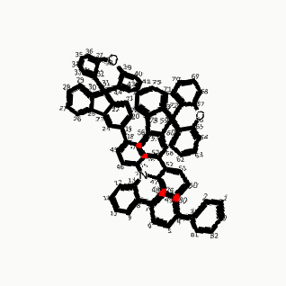 c1ccc(-c2ccc(-c3ccccc3N(c3ccc(-c4ccc5c(c4)-c4ccccc4C54c5ccccc5Oc5ccccc54)cc3)c3ccccc3-c3ccc4c(c3)C3(c5ccccc5Oc5ccccc53)c3ccccc3-4)cc2)cc1